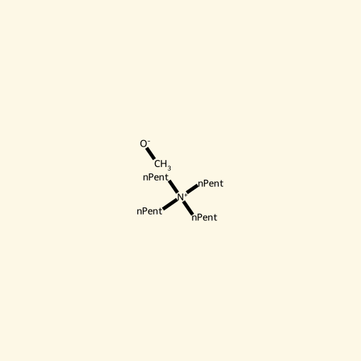 CCCCC[N+](CCCCC)(CCCCC)CCCCC.C[O-]